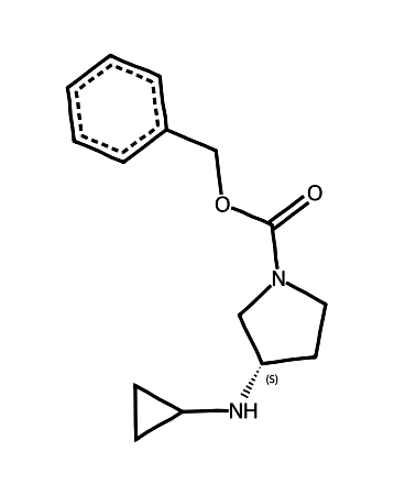 O=C(OCc1ccccc1)N1CC[C@H](NC2CC2)C1